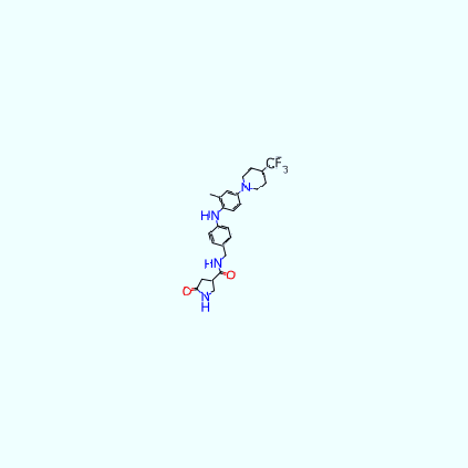 Cc1cc(N2CCC(C(F)(F)F)CC2)ccc1Nc1ccc(CNC(=O)C2CNC(=O)C2)cc1